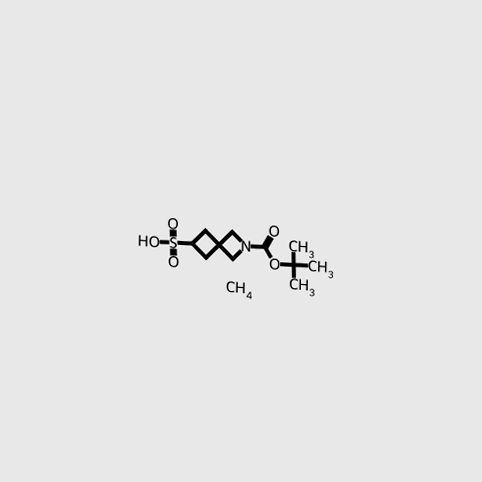 C.CC(C)(C)OC(=O)N1CC2(CC(S(=O)(=O)O)C2)C1